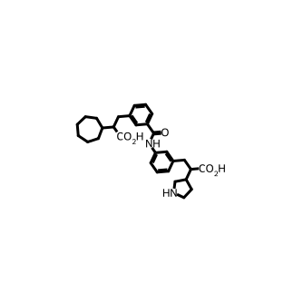 O=C(Nc1cccc(CC(C(=O)O)C2CCNC2)c1)c1cccc(CC(C(=O)O)C2CCCCCC2)c1